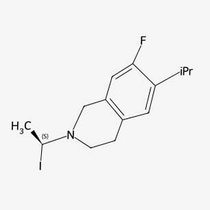 CC(C)c1cc2c(cc1F)CN([C@H](C)I)CC2